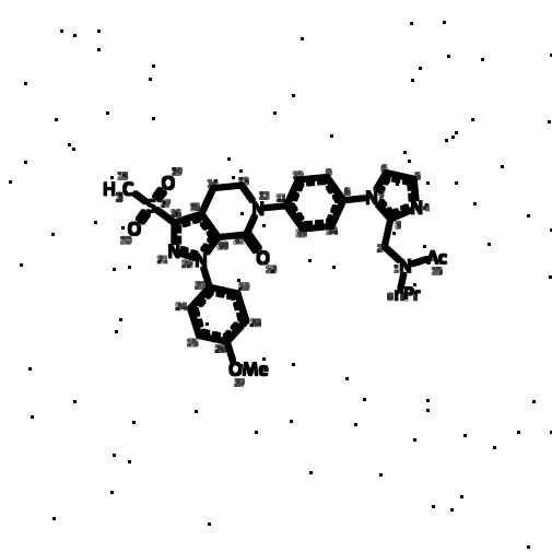 CCCN(Cc1nccn1-c1ccc(N2CCc3c(S(C)(=O)=O)nn(-c4ccc(OC)cc4)c3C2=O)cc1)C(C)=O